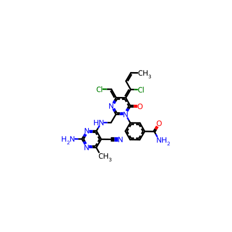 C\C=C/C(Cl)=c1/c(=O)n(-c2cccc(C(N)=O)c2)c(CNc2nc(N)nc(C)c2C#N)n/c1=C\Cl